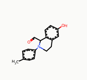 Cc1ccc(N2CCc3cc(O)ccc3C2C=O)cc1